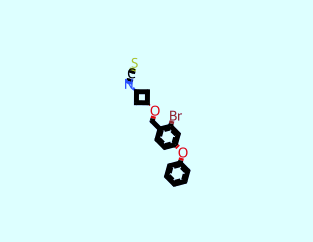 S=C=N[C@H]1C[C@H](OCc2ccc(Oc3ccccc3)cc2Br)C1